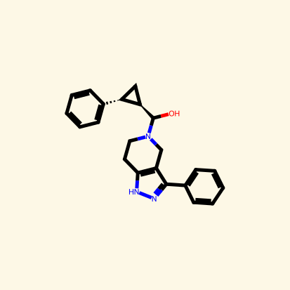 OC([C@@H]1C[C@H]1c1ccccc1)N1CCc2[nH]nc(-c3ccccc3)c2C1